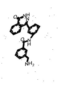 NCc1cccc(C(=O)Nc2cccc(-c3n[nH]c(=O)c4ccccc34)c2)c1